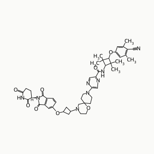 Cc1cc(OC2C(C)(C)C(NC(=O)c3cnc(N4CCC5(CC4)CN(C4CC(Oc6ccc7c(c6)C(=O)N([C@@H]6CCC(=O)NC6=O)C7=O)C4)CCO5)cn3)C2(C)C)cc(C)c1C#N